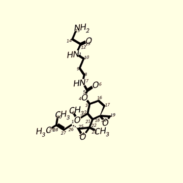 COC1C(OC(=O)NCCCNC(=O)CN)CC[C@]2(CO2)C1C1(C)O[C@@H]1CC=C(C)C